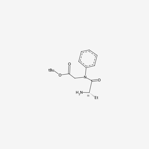 CC[C@H](N)C(=O)N(CC(=O)OC(C)(C)C)c1ccccc1